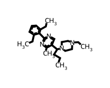 CCCC(c1cnc(-c2c(CC)cccc2CC)nc1C)N1CCN(CC)CC1